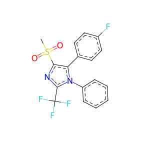 CS(=O)(=O)c1nc(C(F)(F)F)n(-c2ccccc2)c1-c1ccc(F)cc1